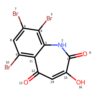 O=c1[nH]c2c(Br)c(Br)cc(Br)c2c(=O)cc1O